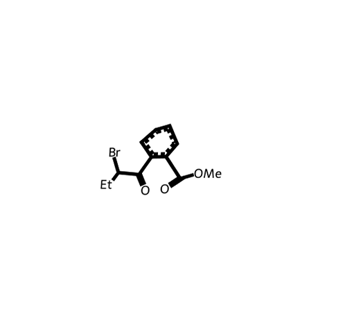 CCC(Br)C(=O)c1ccccc1C(=O)OC